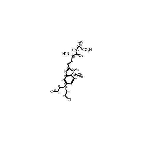 CC(C)[C@H](NC(=O)[C@@H](N)CCc1nc2cc(N(CCCl)CCCl)ccc2n1C)C(=O)O.Cl.Cl